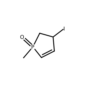 CP1(=O)C=CC(I)C1